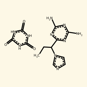 CCC(c1nc(N)nc(N)n1)n1ccnc1.O=c1[nH]c(=O)[nH]c(=O)[nH]1